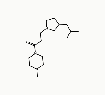 CC(C)C[C@@H]1CCN(CCC(=O)N2CCN(C)CC2)C1